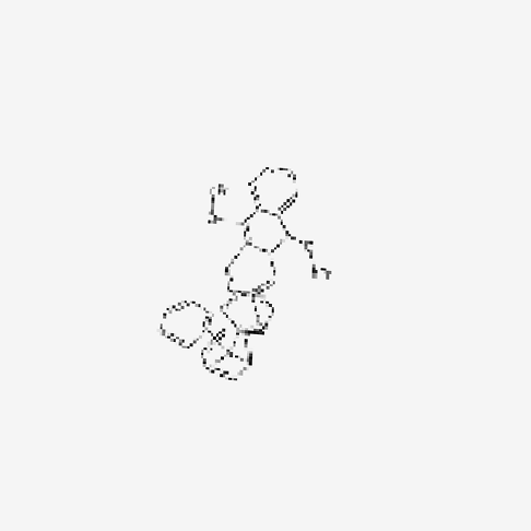 CCCOC1=C2C=CC(Sc3ccc4cc3S4(c3ccccc3)c3ccccc3)=CC2C(OCCC)c2ccccc21